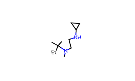 CCC(C)(C)N(C)CCNC1CC1